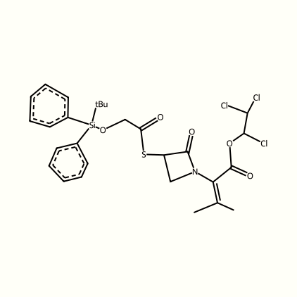 CC(C)=C(C(=O)OC(Cl)C(Cl)Cl)N1CC(SC(=O)CO[Si](c2ccccc2)(c2ccccc2)C(C)(C)C)C1=O